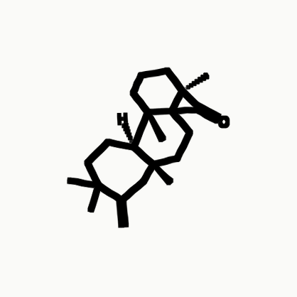 C=C1C[C@@]2(C)CCC34C(=O)[C@]3(C)CCC[C@@]4(C)[C@@H]2CCC1(C)C